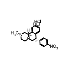 CN1CCN2C[C@@H](c3ccc([N+](=O)[O-])cc3)c3ccccc3[C@H]2C1.Cl.Cl